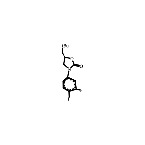 CC(C)(C)C[C@@H]1CN(c2ccc(F)c(F)c2)C(=O)O1